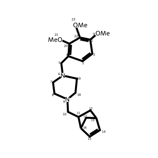 COc1ccc(CN2CCN(CC3CC4C=CC3C4)CC2)c(OC)c1OC